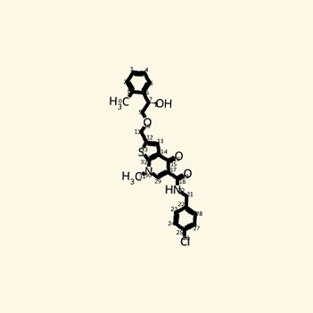 Cc1ccccc1[C@H](O)COCc1cc2c(=O)c(C(=O)NCc3ccc(Cl)cc3)cn(C)c2s1